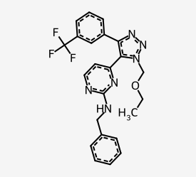 CCOCn1nnc(-c2cccc(C(F)(F)F)c2)c1-c1ccnc(NCc2ccccc2)n1